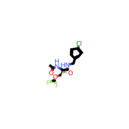 CC(=O)N[C@H](COC(F)F)C(=O)NCc1ccc(Cl)cc1